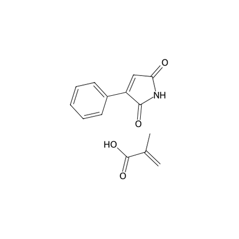 C=C(C)C(=O)O.O=C1C=C(c2ccccc2)C(=O)N1